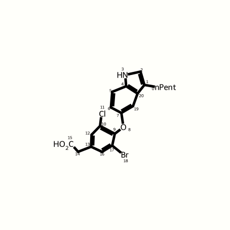 CCCCCc1c[nH]c2ccc(Oc3c(Cl)cc(CC(=O)O)cc3Br)cc12